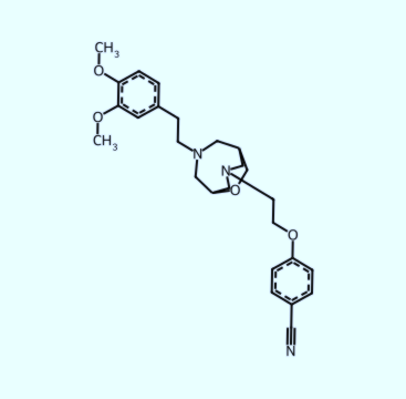 COc1ccc(CCN2CC3COC(CN(CCOc4ccc(C#N)cc4)C3)C2)cc1OC